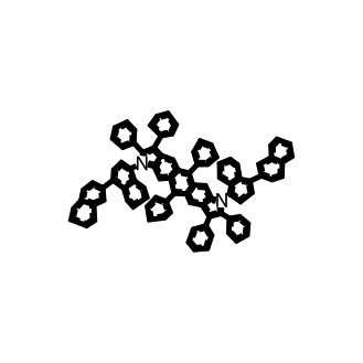 c1ccc(-c2c3cc4c(-c5ccccc5)c(-c5ccccc5)n(-c5ccc(-c6ccc7ccccc7c6)c6ccccc56)c4cc3c(-c3ccccc3)c3cc4c(-c5ccccc5)c(-c5ccccc5)n(-c5ccc(-c6ccc7ccccc7c6)c6ccccc56)c4cc23)cc1